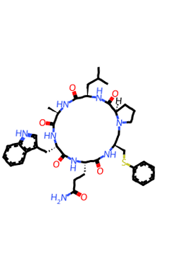 CC(C)C[C@H]1NC(=O)[C@H]2CCCN2C[C@@H](CSc2ccccc2)NC(=O)[C@H](CCC(N)=O)NC(=O)[C@H](Cc2c[nH]c3ccccc23)NC(=O)[C@@H](C)NC1=O